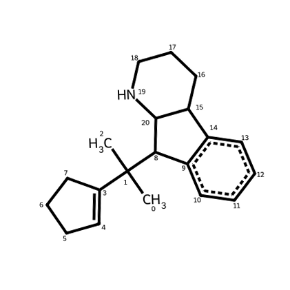 CC(C)(C1=CCCC1)C1c2ccccc2C2CCCNC21